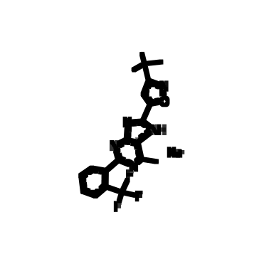 Cc1nc(-c2ccccc2C(F)(F)F)nc2nc(-c3cc(C(C)(C)C)no3)[nH]c12.[Na]